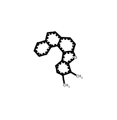 Cc1ccc2c(oc3ccc4ccc5ccccc5c4c32)c1C